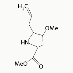 C=CCC1NC(C(=O)OC)CC1OC